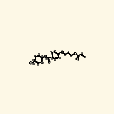 C=CC(=O)OCCCOc1ccc(C(=O)Oc2ccc(Cl)cc2)cc1